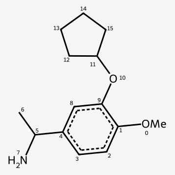 COc1ccc(C(C)N)cc1OC1CCCC1